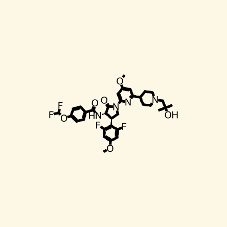 COc1cc(C2CCN(CC(C)(C)O)CC2)nc(N2C[C@@H](c3c(F)cc(OC)cc3F)[C@H](NC(=O)c3ccc(OC(F)F)cc3)C2=O)c1